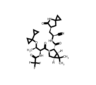 C[C@@H](OC1(C2CC2)CC1)[C@H](NC(=O)C(F)(F)F)C(=O)N1C[C@H]2[C@@H]([C@H]1C(=O)N[C@H](C#N)C[C@@H]1CC3(CC3)NC1=O)C2(C)C